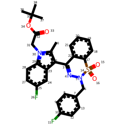 Cc1c(C2=NN(Cc3ccc(F)cc3)S(=O)(=O)c3ccccc32)c2cc(F)ccc2n1CC(=O)OC(C)(C)C